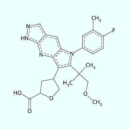 COCC(C)(C)c1c(C2COC(C(=O)O)C2)c2nc3[nH]ncc3cc2n1-c1ccc(F)c(C)c1